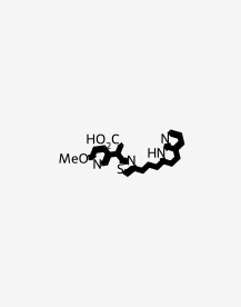 COc1ccc(C(CC(=O)O)c2nc(CCCC3CCc4cccnc4N3)cs2)cn1